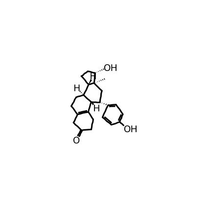 C[C@]12C[C@H](c3ccc(O)cc3)[C@@H]3C4=C(CC[C@H]3[C@@H]1CC[C@@H]2O)CC(=O)CC4